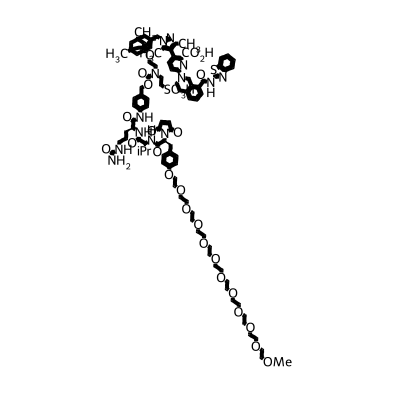 COCCOCCOCCOCCOCCOCCOCCOCCOCCOCCOCCOc1ccc(C[C@@H](C(=O)N[C@H](C(=O)N[C@@H](CCCNC(N)=O)C(=O)Nc2ccc(COC(=O)N(CCOC34CC5(C)CC(C)(CC(Cn6nc(C)c(-c7ccc(N8CCc9cccc(C(=O)Nc%10nc%11ccccc%11s%10)c9C8)nc7C(=O)O)c6C)(C5)C3)C4)CCS(=O)(=O)O)cc2)C(C)C)N2C(=O)C=CC2=O)cc1